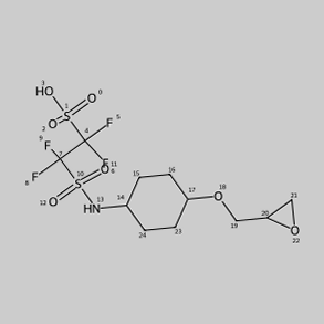 O=S(=O)(O)C(F)(F)C(F)(F)S(=O)(=O)NC1CCC(OCC2CO2)CC1